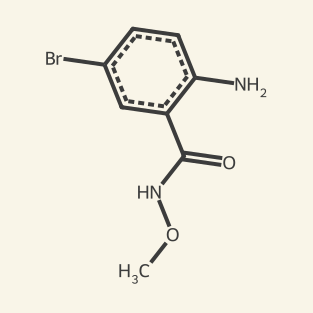 CONC(=O)c1cc(Br)ccc1N